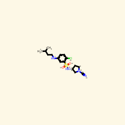 CC(C)CCNc1ccc(Cl)c(S(=O)(=O)N[C@@H]2CCN(C#N)C2)c1